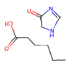 CCCCCC(=O)O.O=C1CNC=N1